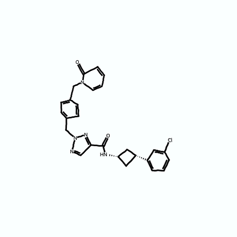 O=C(N[C@H]1C[C@@H](c2cccc(Cl)c2)C1)c1cnn(Cc2ccc(Cn3ccccc3=O)cc2)n1